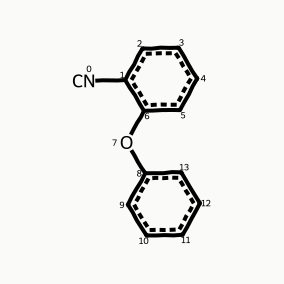 [C-]#[N+]c1ccccc1Oc1ccccc1